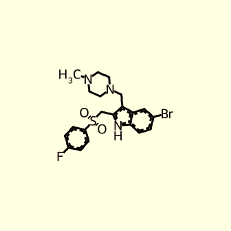 CN1CCN(Cc2c(CS(=O)(=O)c3ccc(F)cc3)[nH]c3ccc(Br)cc23)CC1